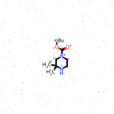 CCCCOC(=O)N1CCNC(C)(C)C1